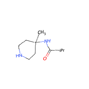 CC(C)C(=O)NC1(C)CCNCC1